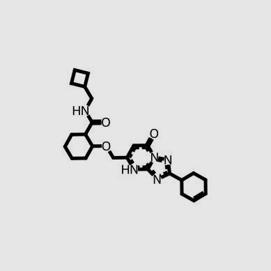 O=C(NCC1CCC1)C1CCCCC1OCc1cc(=O)n2nc(C3CC=CCC3)nc2[nH]1